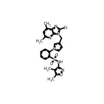 CCc1nc2c(C)cc(C)nc2n1Cc1ccn(-c2ccccc2S(=O)(=O)Nc2noc(C)c2C)c1